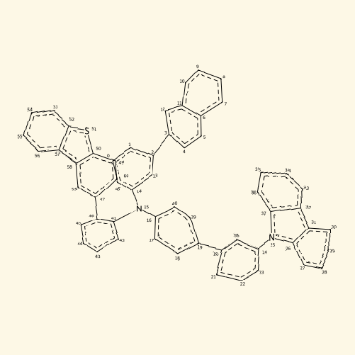 c1cc(-c2ccc3ccccc3c2)cc(N(c2ccc(-c3cccc(-n4c5ccccc5c5ccccc54)c3)cc2)c2ccccc2-c2ccc3sc4ccccc4c3c2)c1